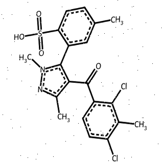 Cc1ccc(S(=O)(=O)O)c(-c2c(C(=O)c3ccc(Cl)c(C)c3Cl)c(C)nn2C)c1